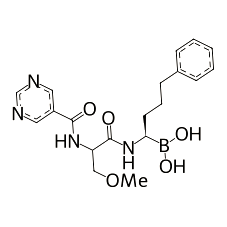 COCC(NC(=O)c1cncnc1)C(=O)N[C@@H](CCCc1ccccc1)B(O)O